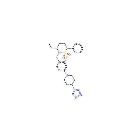 CCC1CCC(c2ccccc2)S(=O)(=O)N1Cc1ccc(N2CCC(n3cnnc3)CC2)cc1F